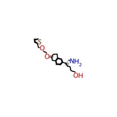 NC[C@H](CCCCO)c1ccc2c(c1)CC[C@@H](OCCOCc1cccs1)C2